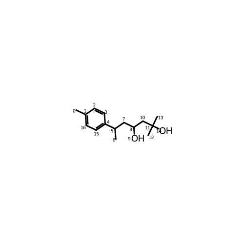 Cc1ccc(C(C)CC(O)CC(C)(C)O)cc1